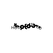 CCC(CC)(c1ccc(OCC(O)C(C)(C)C)c(C)c1)c1ccc(-c2ccc(COC=O)cn2)c(C)c1